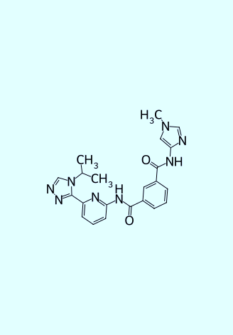 CC(C)n1cnnc1-c1cccc(NC(=O)c2cccc(C(=O)Nc3cn(C)cn3)c2)n1